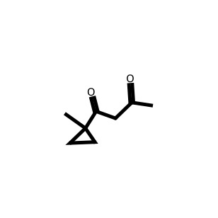 CC(=O)CC(=O)C1(C)CC1